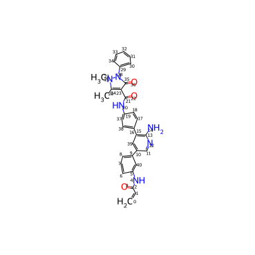 C=CC(=O)Nc1cccc(-c2cnc(N)c(-c3ccc(NC(=O)c4c(C)n(C)n(-c5ccccc5)c4=O)cc3)c2)c1